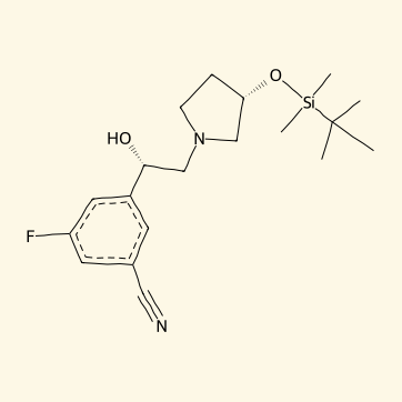 CC(C)(C)[Si](C)(C)O[C@H]1CCN(C[C@@H](O)c2cc(F)cc(C#N)c2)C1